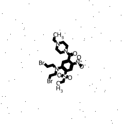 CCN1CCN(C(=O)c2cc(N(CCBr)CCBr)c(S(=O)(=O)CC)cc2[N+](=O)[O-])CC1